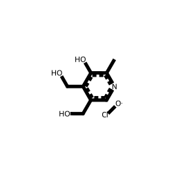 Cc1ncc(CO)c(CO)c1O.[O]Cl